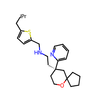 CC(C)Cc1ccc(CNCC[C@@]2(c3ccccn3)CCOC3(CCCC3)C2)s1